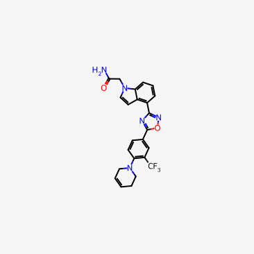 NC(=O)Cn1ccc2c(-c3noc(-c4ccc(N5CC=CCC5)c(C(F)(F)F)c4)n3)cccc21